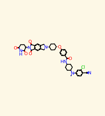 CN(c1ccc(C#N)c(Cl)c1)C1CCC(NC(=O)c2ccc(O[C@H]3CC[C@H](N4Cc5cc6c(cc5C4)C(=O)N([C@@H]4CCC(=O)NC4=O)C6=O)CC3)cc2)CC1